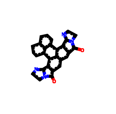 O=c1c2cc3cc4c(=O)n5ccnc5c4c4c5cccc6cccc(c65)c(c34)c2c2nccn12